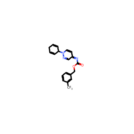 O=C(N=c1ccn(C2C=CCC=C2)nc1)OCc1cccc(C(F)(F)F)c1